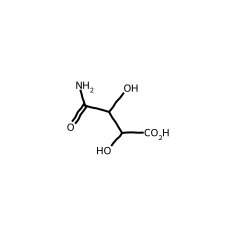 NC(=O)C(O)C(O)C(=O)O